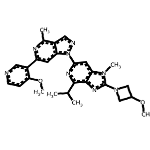 COc1ccncc1-c1cc2c(cnn2-c2cc3c(nc(N4CC(OC)C4)n3C)c(C(C)C)n2)c(C)n1